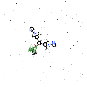 Cc1c(-c2cc(C(C)C)c(N=Cc3ccccn3)c(C(C)C)c2)cc(Br)cc1-c1cc(C(C)C)c(N=Cc2ccccn2)c(C(C)C)c1.Cl.Cl.Cl.Cl.[Cu].[Cu]